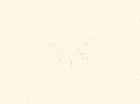 CCOC(=O)N(CCC(C(=O)NO)C1(CC(C)C)CCN(CCc2ccccc2)C1=O)C(=O)OCc1ccccc1